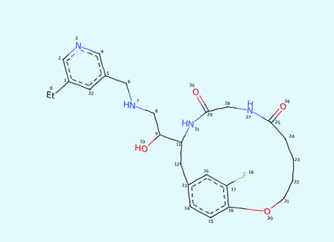 CCc1cncc(CNCC(O)C2Cc3ccc(c(F)c3)OCCCCC(=O)NCC(=O)N2)c1